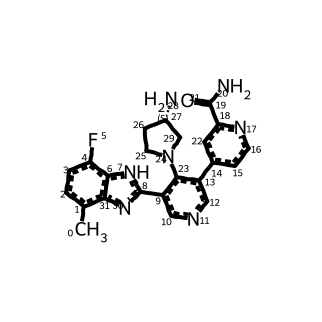 Cc1ccc(F)c2[nH]c(-c3cncc(-c4ccnc(C(N)=O)c4)c3N3CC[C@H](N)C3)nc12